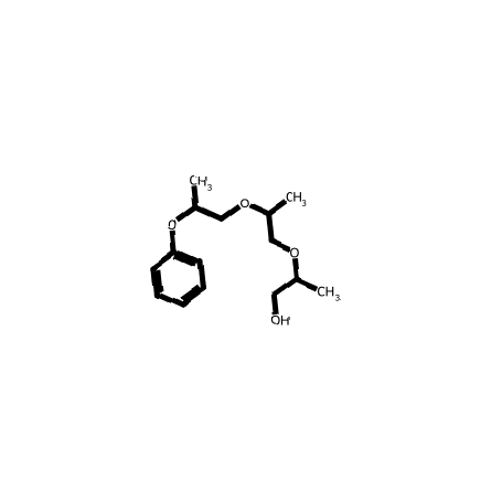 CC(CO)OCC(C)OCC(C)Oc1ccccc1